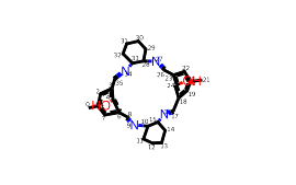 Cc1cc2c(O)c(c1)/C=N/C1CCCCC1/N=C/c1cc(C)cc(c1O)/C=N/C1CCCCC1/N=C/2